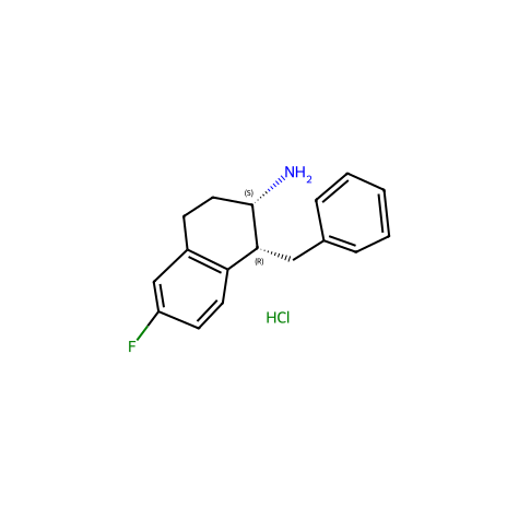 Cl.N[C@H]1CCc2cc(F)ccc2[C@H]1Cc1ccccc1